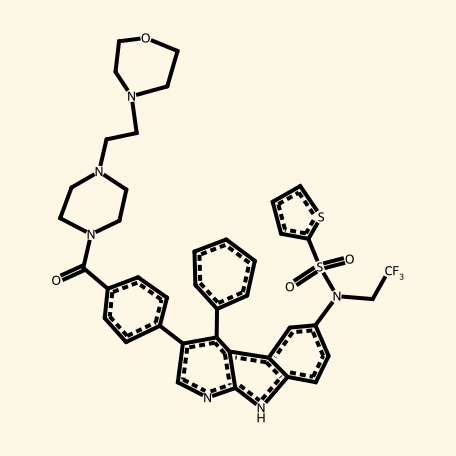 O=C(c1ccc(-c2cnc3[nH]c4ccc(N(CC(F)(F)F)S(=O)(=O)c5cccs5)cc4c3c2-c2ccccc2)cc1)N1CCN(CCN2CCOCC2)CC1